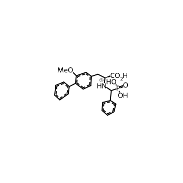 COc1cc(C[C@H](NC(c2ccccc2)P(=O)(O)O)C(=O)O)ccc1-c1ccccc1